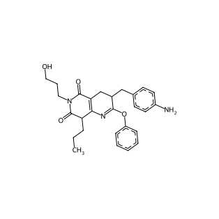 CCCC1C(=O)N(CCCO)C(=O)C2=C1N=C(Oc1ccccc1)C(Cc1ccc(N)cc1)C2